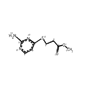 COC(=O)CCSc1ccnc(N)n1